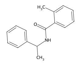 Cc1ccccc1C(=O)NC(C)c1ccccc1